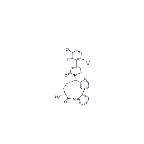 C[C@@H]1CCC[C@H](N2CCC(c3c(C4CC4)ccc(Cl)c3F)=CC2=O)c2cc(ccn2)-c2ccccc2NC1=O